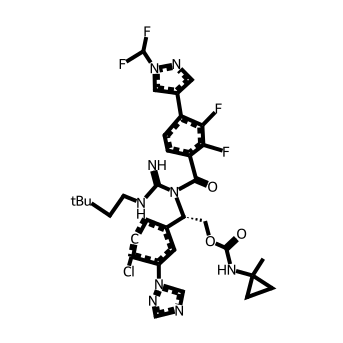 CC(C)(C)CCNC(=N)N(C(=O)c1ccc(-c2cnn(C(F)F)c2)c(F)c1F)[C@H](COC(=O)NC1(C)CC1)c1ccc(Cl)c(-n2cncn2)c1